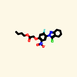 CCCCOC(=O)COc1cc(F)c(-n2nc3c(c2Cl)CCCC3)cc1[N+](=O)[O-]